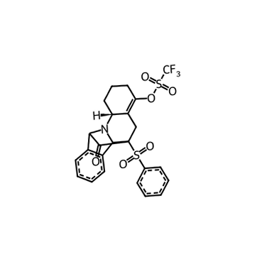 O=C1C2c3ccccc3C3N2[C@@H]2CCCC(OS(=O)(=O)C(F)(F)F)=C2CC13S(=O)(=O)c1ccccc1